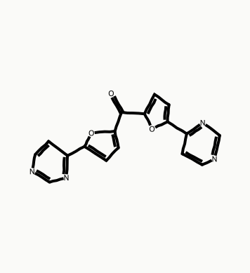 O=C(c1ccc(-c2ccncn2)o1)c1ccc(-c2ccncn2)o1